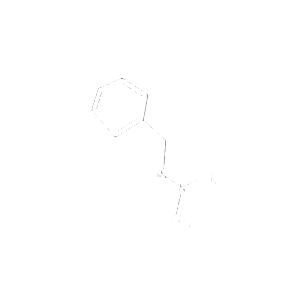 CN(C)NCc1cc[c]cc1